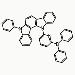 c1ccc(B(c2ccccc2)c2cccc(-n3c4ccccc4c4ccc5c(c6ccccc6n5-c5ccccc5)c43)n2)cc1